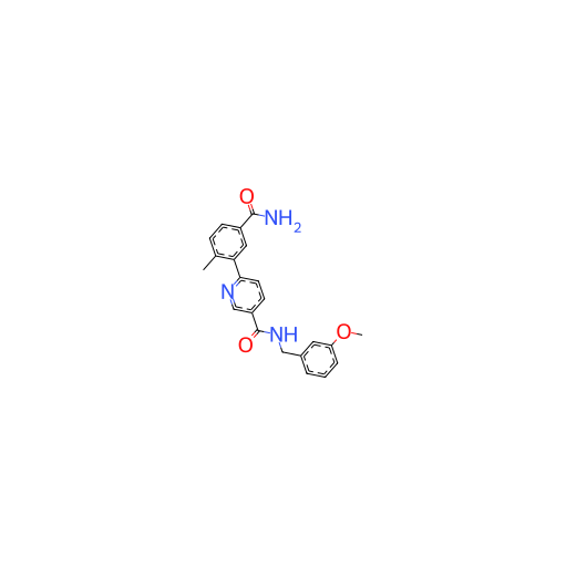 COc1cccc(CNC(=O)c2ccc(-c3cc(C(N)=O)ccc3C)nc2)c1